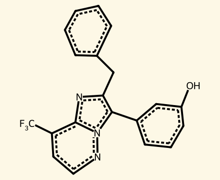 Oc1cccc(-c2c(Cc3ccccc3)nc3c(C(F)(F)F)ccnn23)c1